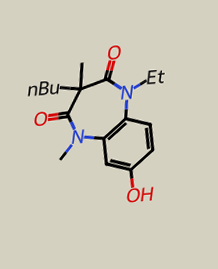 CCCCC1(C)C(=O)N(C)c2cc(O)ccc2N(CC)C1=O